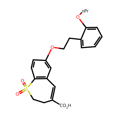 CCCOc1ccccc1CCOc1ccc2c(c1)C=C(C(=O)O)CCS2(=O)=O